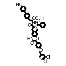 N#Cc1ccc(-c2ccc(C[C@H](NC(=O)C3Cc4cc5c(cc4CN3C(=O)c3ccccc3)OC(c3ccc(OCc4cnc(Cl)c(Cl)c4)cc3)C(=O)N5)C(=O)O)cc2)cc1